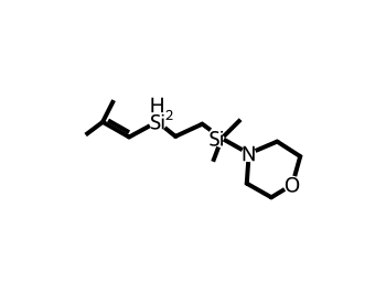 CC(C)=C[SiH2]CC[Si](C)(C)N1CCOCC1